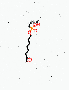 CCCCCCCCCCP(=O)(O)OCCCCCCC1CO1